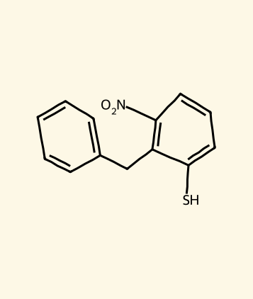 O=[N+]([O-])c1cccc(S)c1Cc1ccccc1